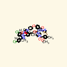 CCOc1cc(C(C)(C)C)ccc1C1=N[C@@](C)(c2ccc(Cl)cc2)[C@@](C)(c2ccc(Cl)cc2)N1C(=O)N1CCN(C2CCC(Oc3ccc(C(=O)Nc4ncc(Sc5cc(C(=O)N6CCN(C(C)=O)CC6)c(OC)cc5C)s4)cc3)CC2)CC1